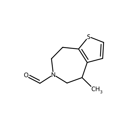 CC1CN(C=O)CCc2sccc21